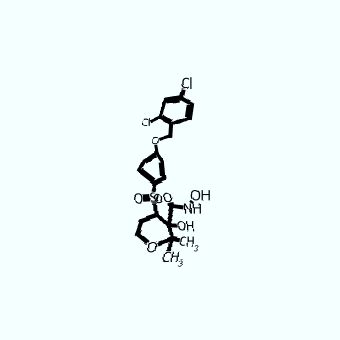 CC1(C)OCCC(S(=O)(=O)c2ccc(OCc3ccc(Cl)cc3Cl)cc2)C1(O)C(=O)NO